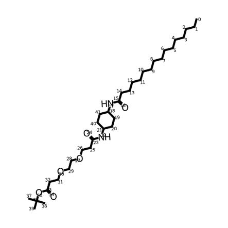 CCCCCCCCCCCCCCCC(=O)NC1CCC(NC(=O)CCOCCOCCC(=O)OC(C)(C)C)CC1